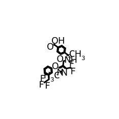 C[C@H](NC(=O)c1c(C(F)F)nn(C)c1Oc1cccc(CC(F)(F)F)c1)c1ccc(C(=O)O)cc1